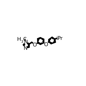 CC(C)c1ccc(Oc2cccc(OCc3cncn3C)c2)cc1